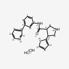 Cl.Cl.O=C(Nc1cccc(-c2cccnc2)c1)C1CNCC1c1cccs1